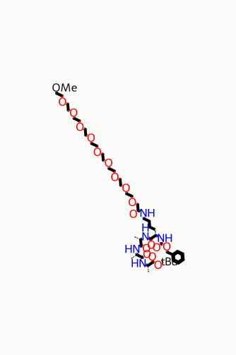 COCCOCCOCCOCCOCCOCCOCCOCCOCCOCC(=O)NCCCC[C@H](NC(=O)OCc1ccccc1)C(=O)N[C@@H](C)C(=O)N[C@@H](C)C(=O)N[C@@H](C)C(=O)OC(C)(C)C